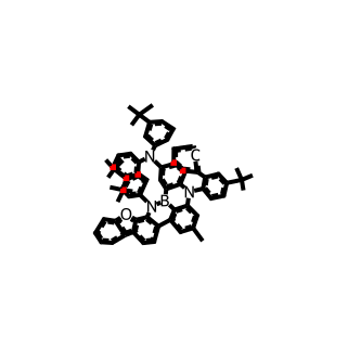 Cc1cc2c3c(c1)N(c1ccc(C(C)(C)C)cc1-c1ccccc1)c1ccc(N(c4cccc(C(C)(C)C)c4)c4cccc(C(C)(C)C)c4)cc1B3N(c1ccc(C(C)(C)C)cc1)c1c-2ccc2c1oc1ccccc12